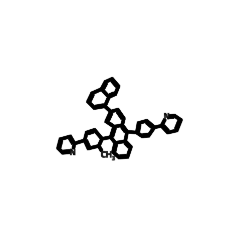 CC1C=C(c2ccccn2)C=CC1c1c2ccccc2c(-c2ccc(-c3ccccn3)cc2)c2ccc(-c3cccc4ccccc34)cc12